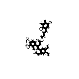 CCc1cc2c(cc1CC)-c1c(CC(=O)OCCCCC3=CC(=O)C(C)=C(C)C3=O)c3ccc(OC)c(OC)c3c[n+]1CC2